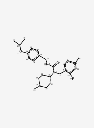 Cc1ccc(CN(C(=O)NCc2ccc(OC(C)C)cc2)C2CCN(C)CC2)c(F)c1